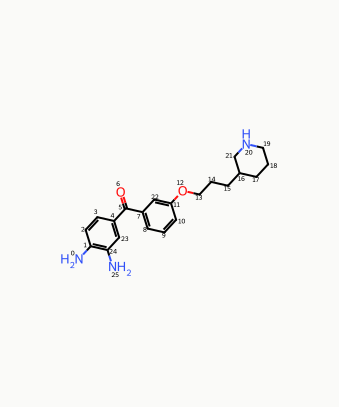 Nc1ccc(C(=O)c2cccc(OCCCC3CCCNC3)c2)cc1N